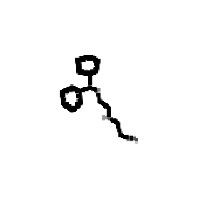 NCCNCCOB(c1ccccc1)c1ccccc1